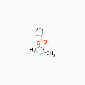 CC(F)CC(C)OS(=O)c1ccccc1